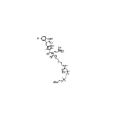 CCN(CC)CCN(C(=O)OCCOCCNC(=O)CC(C)(CC)OCCC(C)(C)OCC(C)(C)C)C(=O)c1c(C)[nH]c(/C=C2\C(=O)Nc3ccc(F)cc32)c1C